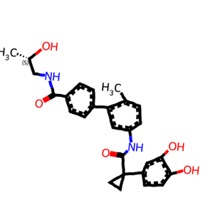 Cc1ccc(NC(=O)C2(c3ccc(O)c(O)c3)CC2)cc1-c1ccc(C(=O)NC[C@H](C)O)cc1